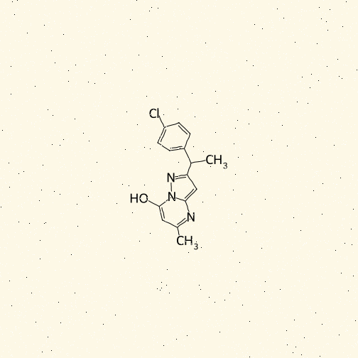 Cc1cc(O)n2nc(C(C)c3ccc(Cl)cc3)cc2n1